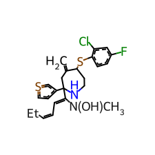 C=C1CC(/C(=C/C=C\CC)N(C)O)(c2ccsc2)NCCC1Sc1ccc(F)cc1Cl